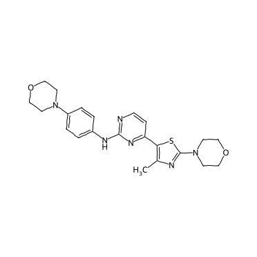 Cc1nc(N2CCOCC2)sc1-c1ccnc(Nc2ccc(N3CCOCC3)cc2)n1